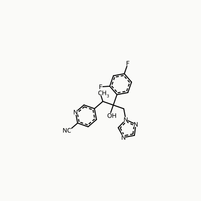 CC(c1ccc(C#N)nc1)C(O)(Cn1cncn1)c1ccc(F)cc1F